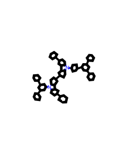 c1ccc(-c2cc(-c3ccccc3)cc(-c3ccc(-n4c5ccc(-c6ccccc6)cc5c5cc(-c6ccc7c(c6)c6cc(-c8ccccc8)ccc6n7-c6cc(-c7ccccc7)cc(-c7ccccc7)c6)ccc54)cc3)c2)cc1